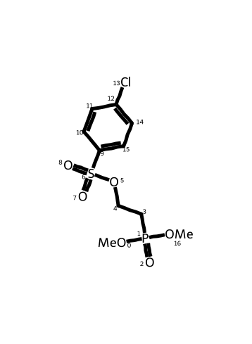 COP(=O)(CCOS(=O)(=O)c1ccc(Cl)cc1)OC